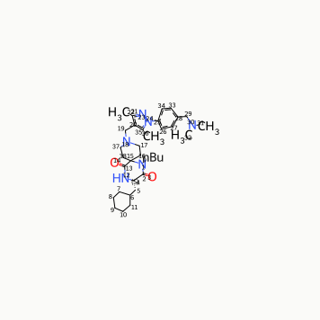 CCCCN1C(=O)[C@H](CC2CCCCC2)NC(=O)C12CCN(Cc1c(C)nn(-c3ccc(CN(C)C)cc3)c1C)CC2